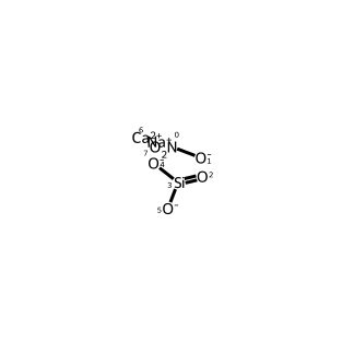 O=[N+]([O-])[O-].O=[Si]([O-])[O-].[Ca+2].[Na+]